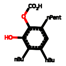 CCCCCc1cc(CCCC)c(CCCC)c(O)c1OC(=O)O